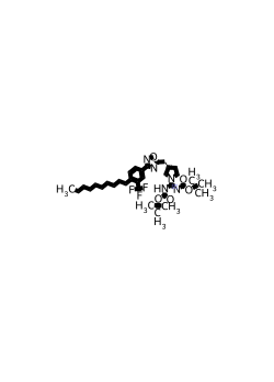 CCCCCCCCCCc1ccc(-c2noc(C[C@@H]3CCN(/C(=N\C(=O)OC(C)(C)C)NC(=O)OC(C)(C)C)C3)n2)cc1C(F)(F)F